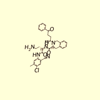 Cc1cc(NC(=O)[C@H](CCN)NC(=O)[C@@H]2Cc3ccccc3CN2C(=O)CCC(=O)c2ccccc2)c(C#N)cc1Cl